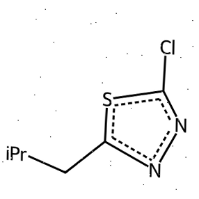 CC(C)Cc1nnc(Cl)s1